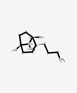 CCCC[C@@H]1CC[C@@H]2CC[C@H]1N2C